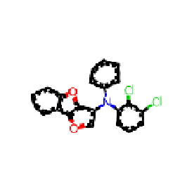 Clc1cccc(N(c2ccccc2)c2coc3c2oc2ccccc23)c1Cl